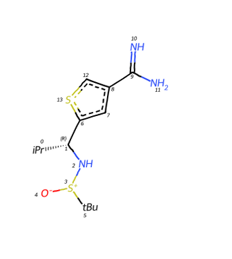 CC(C)[C@@H](N[S+]([O-])C(C)(C)C)c1cc(C(=N)N)cs1